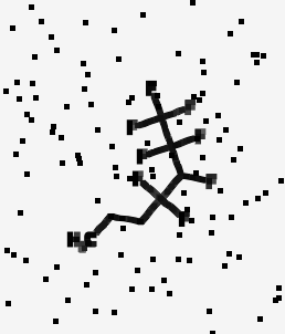 CCCC(F)(F)C(F)C(F)(F)C(F)(F)F